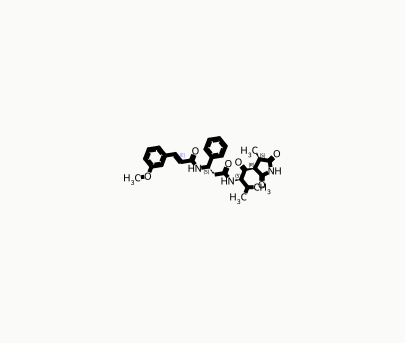 COc1cccc(/C=C/C(=O)N[C@@H](CC(=O)N[C@H](C(=O)[C@@H]2C(=O)NC(=O)[C@H]2C)C(C)C)c2ccccc2)c1